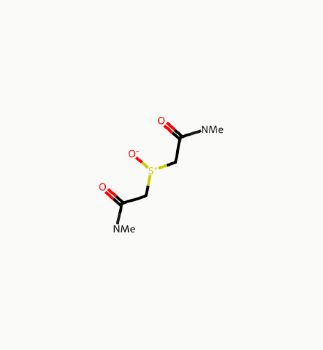 CNC(=O)C[S+]([O-])CC(=O)NC